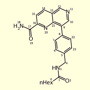 CCCCCCC(=O)NCc1ccc(-c2cncc3ccc(C(N)=O)nc23)cc1